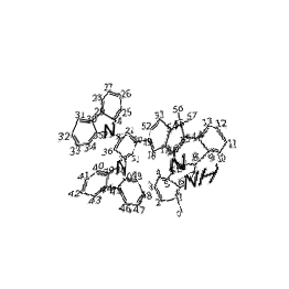 Cc1cccc2c1NC1c3ccccc3C3=C(c4cc(-c5cc(-n6c7ccccc7c7ccccc76)cc(-n6c7ccccc7c7ccccc76)c5)ccc4C3(C)C)N21